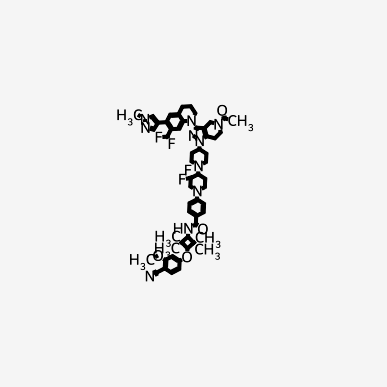 COc1cc(OC2C(C)(C)C(NC(=O)c3ccc(N4CCC(N5CCC(n6nc(N7CCCc8cc(-c9cnn(C)c9)c(C(F)F)cc87)c7c6CCN(C(C)=O)C7)CC5)C(F)(F)C4)cc3)C2(C)C)ccc1C#N